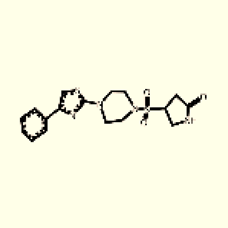 O=C1CC(S(=O)(=O)N2CCN(c3nc(-c4ccccc4)cs3)CC2)CN1